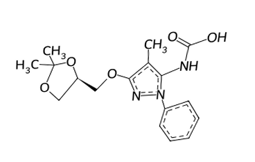 Cc1c(OC[C@H]2COC(C)(C)O2)nn(-c2ccccc2)c1NC(=O)O